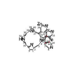 C1=Cc2cc3c(-c4ccncc4)c(-c4ccncc4)c(c(-c4ccncc4)c4nc(cc5ccc(cc1n2)[nH]5)C=C4)n3-c1ccncc1.[Zn]